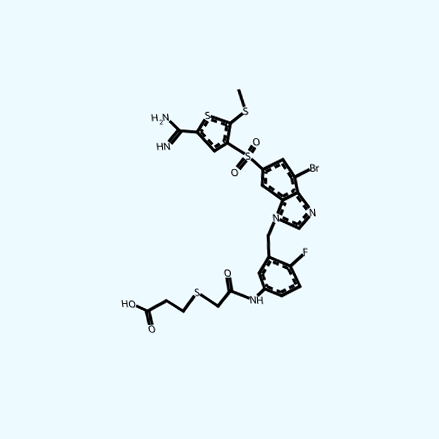 CSc1sc(C(=N)N)cc1S(=O)(=O)c1cc(Br)c2ncn(Cc3cc(NC(=O)CSCCC(=O)O)ccc3F)c2c1